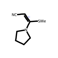 CS/C(=C/C#N)N1CCCC1